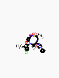 CCCC1=C(C2COc3ccc4cc3N(C2)CC2CCC2C(CN2CCN(c3ccccc3)CC2)(OC)/C=C/CC(C)C(C)S(=O)(=O)NC4=O)C=CC(Cl)C1